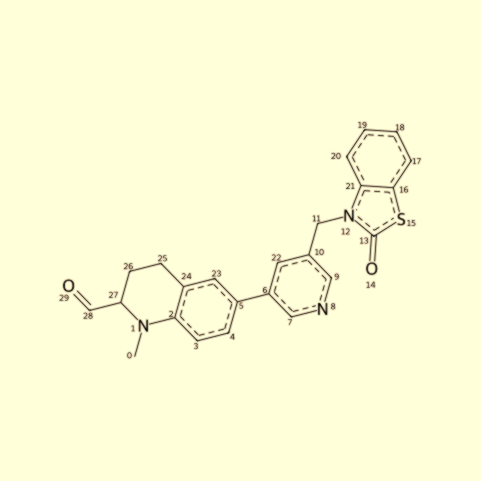 CN1c2ccc(-c3cncc(Cn4c(=O)sc5ccccc54)c3)cc2CCC1C=O